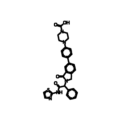 O=C(Nc1nccs1)C(c1ccccc1)N1Cc2ccc(-c3ccc(N4CCN(C(=O)O)CC4)cc3)cc2C1=O